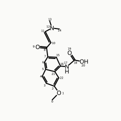 COc1ccc2cc(C(=O)/C=C/N(C)C)cc(NC(=O)O)c2c1